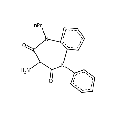 CCCN1C(=O)C(N)C(=O)N(c2ccccc2)c2ccccc21